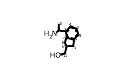 CC(N)c1cccc2c1CC(CO)C2